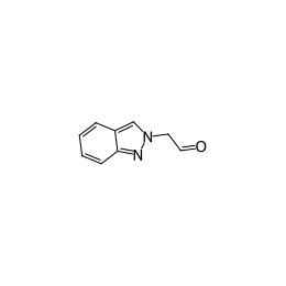 O=CCn1cc2ccccc2n1